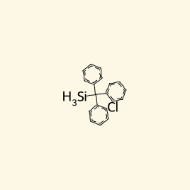 [SiH3]C(c1ccccc1)(c1ccccc1)c1ccccc1Cl